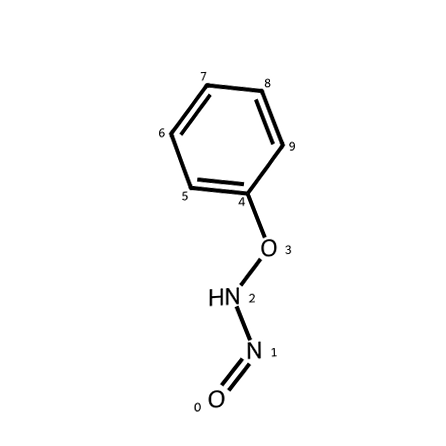 O=NNOc1ccccc1